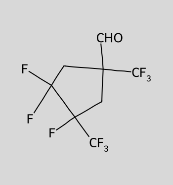 O=CC1(C(F)(F)F)CC(F)(F)C(F)(C(F)(F)F)C1